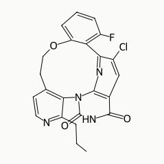 CCCc1nccc2c1-n1c(=O)[nH]c(=O)c3cc(Cl)c(nc31)-c1c(F)cccc1OCC2